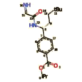 CC(C)OC(=O)c1ccc([C@@H](CCC(C)(C)C)NC(=O)C=N)cc1